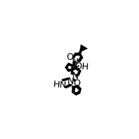 O=C(N1CC[C@@](O)(Cn2ccc(C3CC3)cc2=O)C2(CCCC2)C1)N1CCNC[C@H]1c1ccccc1